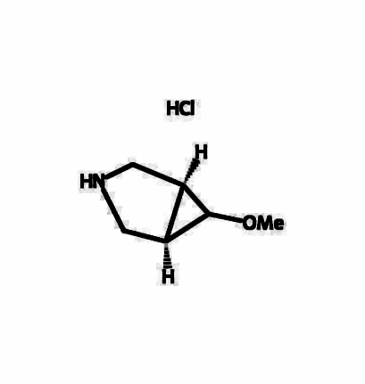 COC1[C@H]2CNC[C@@H]12.Cl